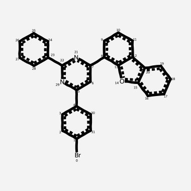 Brc1ccc(-c2cc(-c3cccc4c3oc3ccccc34)nc(-c3ccccc3)n2)cc1